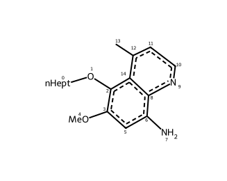 CCCCCCCOc1c(OC)cc(N)c2nccc(C)c12